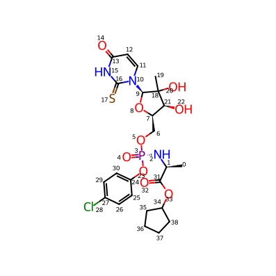 C[C@H](N[P@](=O)(OC[C@H]1O[C@@H](n2ccc(=O)[nH]c2=S)C(C)(O)[C@H]1O)Oc1ccc(Cl)cc1)C(=O)OC1CCCC1